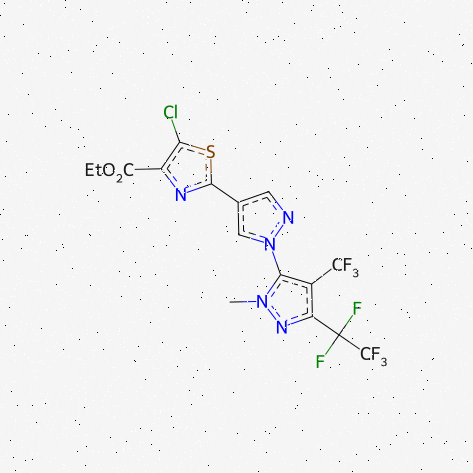 CCOC(=O)c1nc(-c2cnn(-c3c(C(F)(F)F)c(C(F)(F)C(F)(F)F)nn3C)c2)sc1Cl